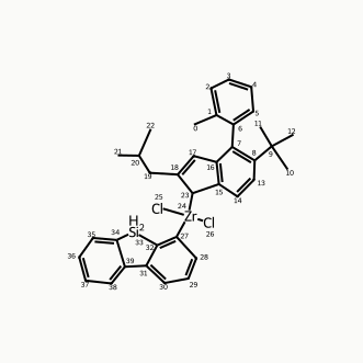 Cc1ccccc1-c1c(C(C)(C)C)ccc2c1C=C(CC(C)C)[CH]2[Zr]([Cl])([Cl])[c]1cccc2c1[SiH2]c1ccccc1-2